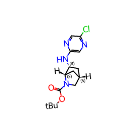 CC(C)(C)OC(=O)N1C[C@H]2C[C@@H](Nc3cnc(Cl)cn3)[C@@H]1C2